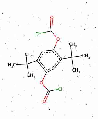 CC(C)(C)c1cc(OC(=O)Cl)c(C(C)(C)C)cc1OC(=O)Cl